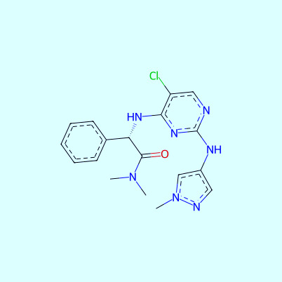 CN(C)C(=O)[C@@H](Nc1nc(Nc2cnn(C)c2)ncc1Cl)c1ccccc1